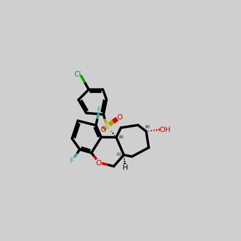 O=S(=O)(c1ccc(Cl)cc1)[C@]12CC[C@H](O)CC[C@H]1COc1c(F)ccc(F)c12